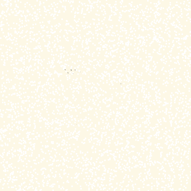 CNCc1ccccc1C(C)=O